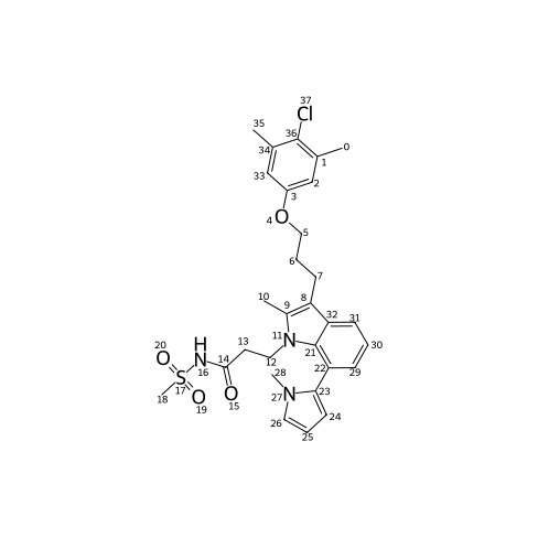 Cc1cc(OCCCc2c(C)n(CCC(=O)NS(C)(=O)=O)c3c(-c4cccn4C)cccc23)cc(C)c1Cl